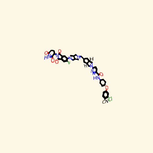 N#Cc1ccc(OC2CCC(NC(=O)c3ccc(N4C[C@H]5CC(CN6CC7CN(c8cc9c(cc8F)C(=O)N(C8CCC(=O)NC8=O)C9=O)CC7C6)C[C@H]5C4)nn3)CC2)cc1Cl